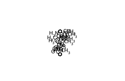 CC[C@H](C)[C@@H]([C@@H](CC(=O)N1CCC[C@H]1[C@H](OC)[C@@H](C)C(=O)N[C@@H](Cc1ccccc1)C(=O)O)OC)N(C)C(=O)[C@@H](NC(=O)C(C(C)C)N(C)Cc1cccc(N)c1)C(C)C